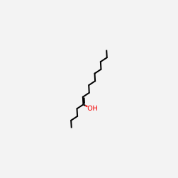 CCCCCCCCC=C(O)CCCC